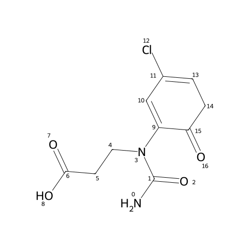 NC(=O)N(CCC(=O)O)C1=CC(Cl)=CCC1=O